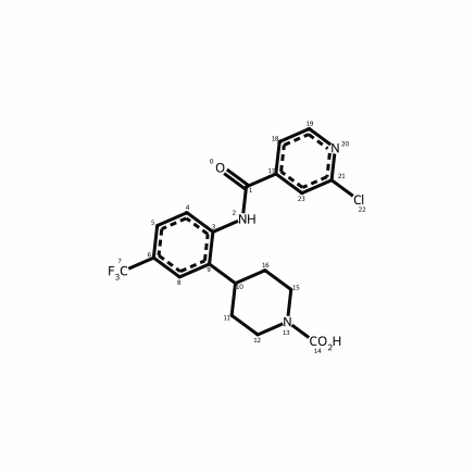 O=C(Nc1ccc(C(F)(F)F)cc1C1CCN(C(=O)O)CC1)c1ccnc(Cl)c1